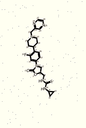 O=C1OC(CNC(=S)NC2CC2)CN1c1ccc(C2CCN(Cc3cnccn3)CC2)c(F)c1